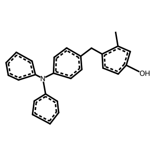 Cc1cc(O)ccc1Cc1ccc(N(c2ccccc2)c2ccccc2)cc1